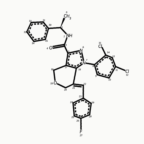 C[C@@H](NC(=O)c1nn(-c2ccc(Cl)cc2Cl)c2c1COC/C2=C\c1ccc(F)cc1)c1ccccc1